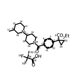 CCOC(=O)C1(c2ccc(C(=O)N3CCC(N4CCCC(C)C4)CC3)cc2)CC1.O=C(O)C(F)(F)F